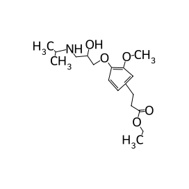 CCOC(=O)CCc1ccc(OCC(O)CNC(C)C)c(OC)c1